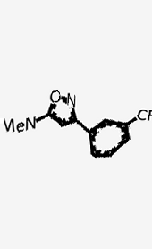 CNc1cc(-c2cccc(C(F)(F)F)c2)no1